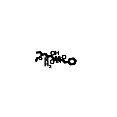 CCSC(CC)C[C@@H](N)C(O)C(=O)NNC(=O)CC1CCCCC1